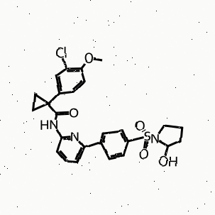 COc1ccc(C2(C(=O)Nc3cccc(-c4ccc(S(=O)(=O)N5CCCC5O)cc4)n3)CC2)cc1Cl